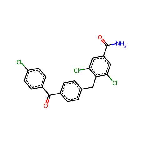 NC(=O)c1cc(Cl)c(Cc2ccc(C(=O)c3ccc(Cl)cc3)cc2)c(Cl)c1